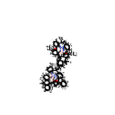 CC(C)(C)c1cccc2c1N(B1c3ccccc3C3(C)c4ccc(CC5(C)c6ccccc6N(B6c7ccccc7C7(C)c8ccccc8C(C)(C)c8cccc6c87)c6c5ccc5c6C(C)(C)c6ccccc6-5)cc4C(C)(C)c4cccc1c43)c1c(C(C)(C)C)cccc1C2(C)C